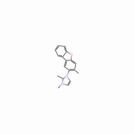 Cc1cc2oc3ccccc3c2cc1N1C=CN(C)C1C